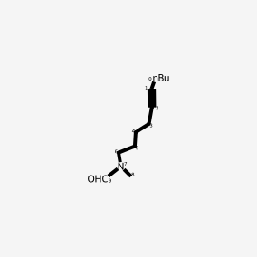 [CH2]CCCC#CCCCCN(C)C=O